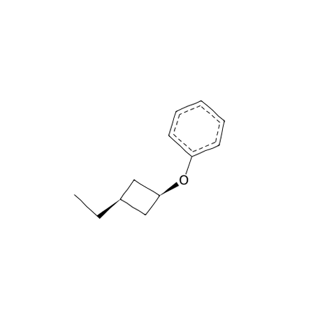 CC[C@H]1C[C@@H](Oc2ccccc2)C1